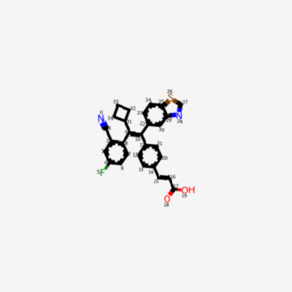 N#Cc1cc(F)ccc1/C(=C(\c1ccc(/C=C/C(=O)O)cc1)c1ccc2scnc2c1)C1CCC1